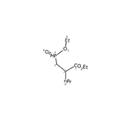 CCCC(C[PH](=O)OCC)C(=O)OCC